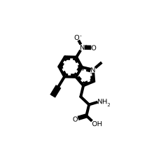 C#Cc1ccc([N+](=O)[O-])c2c1c(CC(N)C(=O)O)cn2C